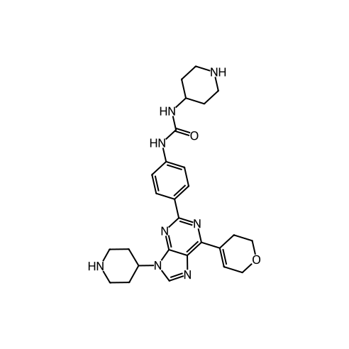 O=C(Nc1ccc(-c2nc(C3=CCOCC3)c3ncn(C4CCNCC4)c3n2)cc1)NC1CCNCC1